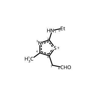 CCNc1nc(C)c(CC=O)s1